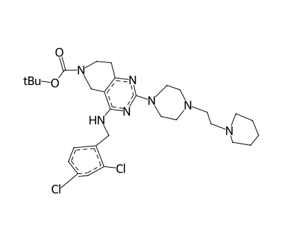 CC(C)(C)OC(=O)N1CCc2nc(N3CCN(CCN4CCCCC4)CC3)nc(NCc3ccc(Cl)cc3Cl)c2C1